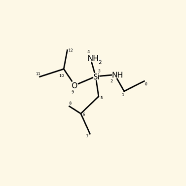 CCN[Si](N)(CC(C)C)OC(C)C